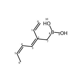 C=C/C(=C\C=C/C)CB(O)O